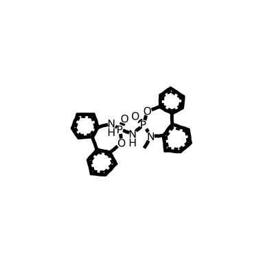 CN1c2ccccc2-c2ccccc2OP1(=O)NP1(=O)Nc2ccccc2-c2ccccc2O1